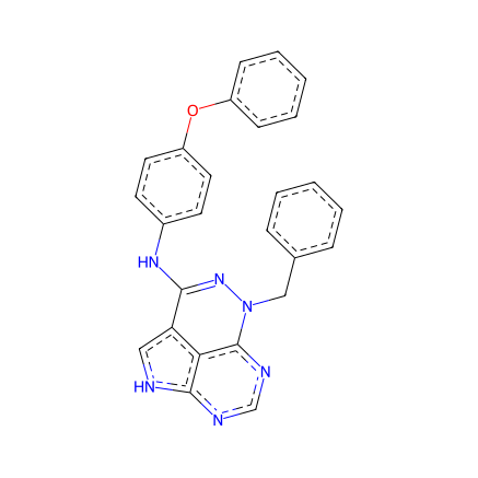 c1ccc(CN2N=C(Nc3ccc(Oc4ccccc4)cc3)c3c[nH]c4ncnc2c34)cc1